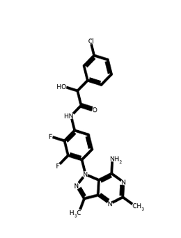 Cc1nc(N)c2c(n1)c(C)nn2-c1ccc(NC(=O)C(O)c2cccc(Cl)c2)c(F)c1F